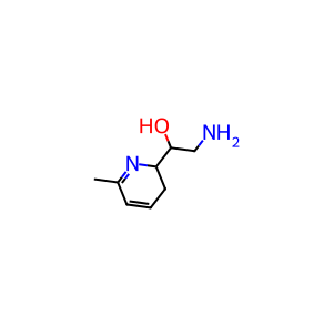 CC1=NC(C(O)CN)CC=C1